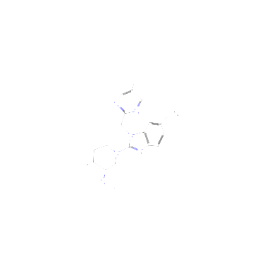 N#Cc1ccc2nc(N3CC[C@H](F)[C@H](N)C3)n(Cc3ncc(Cl)cn3)c2c1